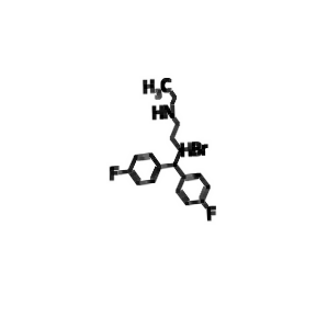 Br.CCNCCCC(c1ccc(F)cc1)c1ccc(F)cc1